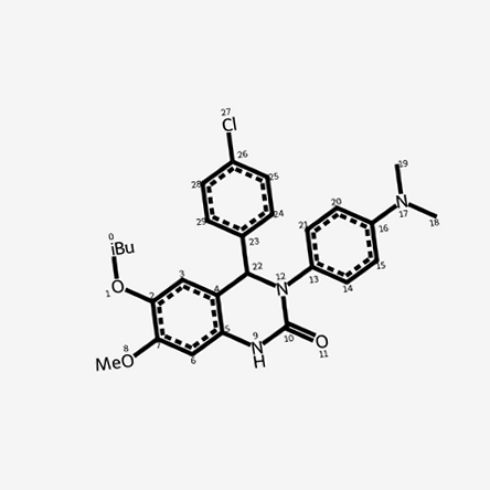 CCC(C)Oc1cc2c(cc1OC)NC(=O)N(c1ccc(N(C)C)cc1)C2c1ccc(Cl)cc1